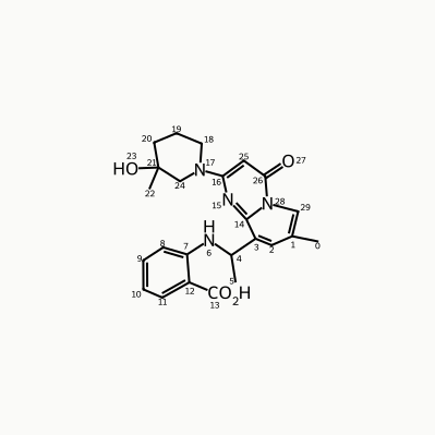 Cc1cc(C(C)Nc2ccccc2C(=O)O)c2nc(N3CCCC(C)(O)C3)cc(=O)n2c1